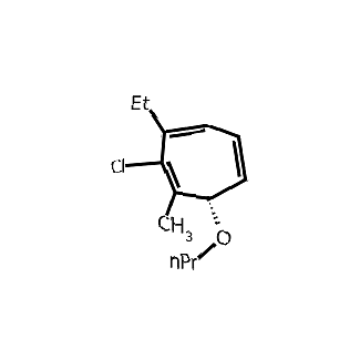 CCCO[C@H]1C=CC=C(CC)C(Cl)=C1C